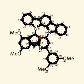 COc1cc(OC)cc(-c2cc(-n3c4ccccc4c4ccc5c6ccccc6n(-c6ccccc6)c5c43)cc(-c3cc(OC)cc(OC)c3)n2)c1